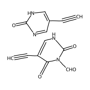 C#Cc1c[nH]c(=O)n(C=O)c1=O.C#Cc1cnc(=O)[nH]c1